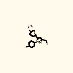 CSc1ccc(-c2cc(CF)nn2-c2ccc(F)cc2)cc1